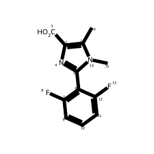 Cc1c(C(=O)O)nc(-c2c(F)cccc2F)n1C